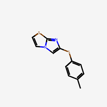 Cc1ccc(Sc2[c]n3ccsc3n2)cc1